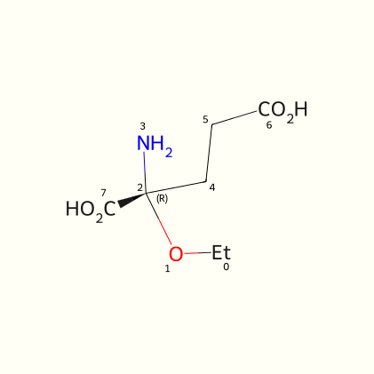 CCO[C@](N)(CCC(=O)O)C(=O)O